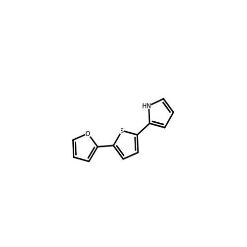 c1c[nH]c(-c2ccc(-c3ccco3)s2)c1